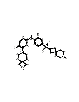 Cc1cc(S(=O)(=O)C2CC3(CCN(C)CC3)C2)ccc1Nc1ncc(C(F)(F)F)c(N2CCC3(CC2)COC3)n1